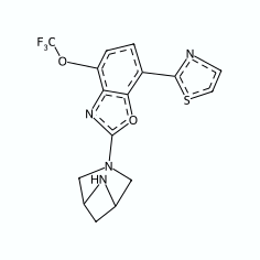 FC(F)(F)Oc1ccc(-c2nccs2)c2oc(N3CC4CC(C3)N4)nc12